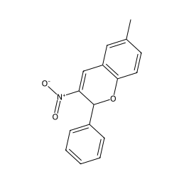 Cc1ccc2c(c1)C=C([N+](=O)[O-])C(c1ccccc1)O2